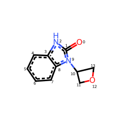 O=c1[nH]c2ccccc2n1C1COC1